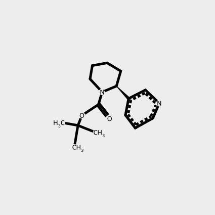 CC(C)(C)OC(=O)N1CCCC[C@H]1c1cccnc1